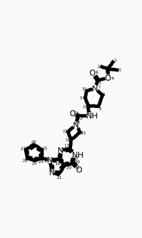 CC(C)(C)OC(=O)N1CCC(NC(=O)N2CC(c3nc4c(cnn4-c4ccccc4)c(=O)[nH]3)C2)CC1